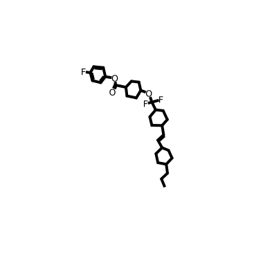 CCCC1CCC(/C=C/C2CCC(C(F)(F)OC3CCC(C(=O)Oc4ccc(F)cc4)CC3)CC2)CC1